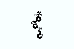 CS(=O)(=O)Nc1cccc(-c2cnc3ccc(NCCc4ccccn4)nn23)c1